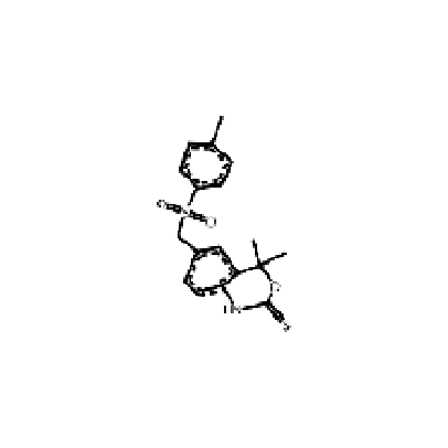 Cc1ccc(S(=O)(=O)Cc2ccc3c(c2)C(C)(C)OC(=S)N3)cc1